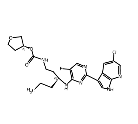 CCC[C@@H](CCNC(=O)O[C@H]1CCOC1)Nc1nc(-c2c[nH]c3ncc(Cl)cc23)ncc1F